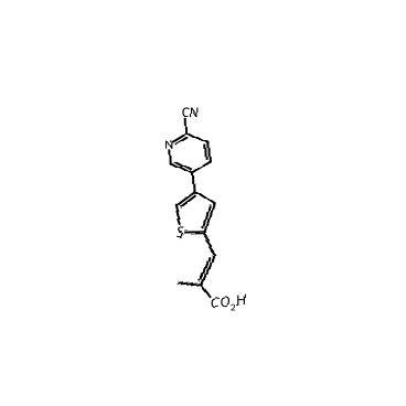 C/C(=C\c1cc(-c2ccc(C#N)nc2)cs1)C(=O)O